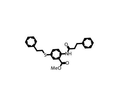 COC(=O)c1cc(SCCc2ccccc2)ccc1NC(=O)CCc1ccccc1